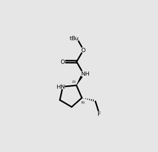 CC(C)(C)OC(=O)N[C@@H]1NCC[C@H]1CF